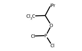 CC(C)C(OP(Cl)Cl)C(Cl)(Cl)Cl